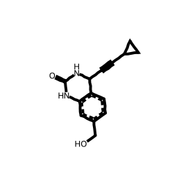 O=C1Nc2cc(CO)ccc2C(C#CC2CC2)N1